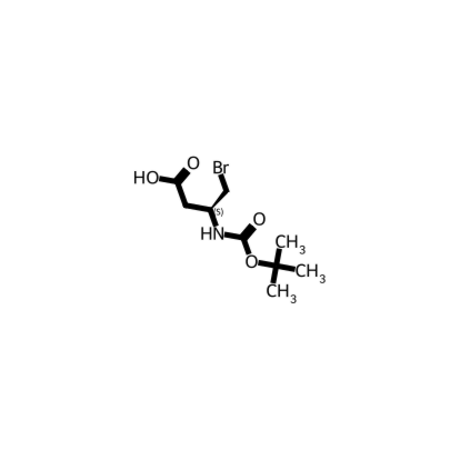 CC(C)(C)OC(=O)N[C@H](CBr)CC(=O)O